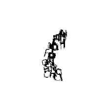 O=C(NC[C@H]1CN(c2ccc(-c3ccc(CNCc4cnn[nH]4)nc3)c(F)c2)C(=O)O1)C(Cl)Cl